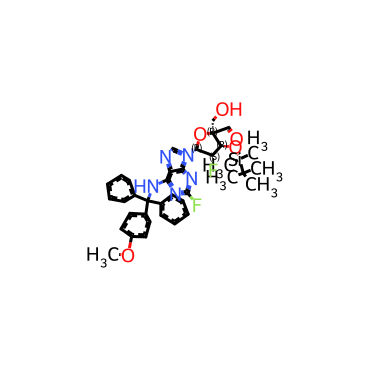 COc1ccc(C(Nc2nc(F)nc3c2ncn3[C@@H]2O[C@](C=O)(CO)[C@@H](O[Si](C)(C)C(C)(C)C)[C@@H]2F)(c2ccccc2)c2ccccc2)cc1